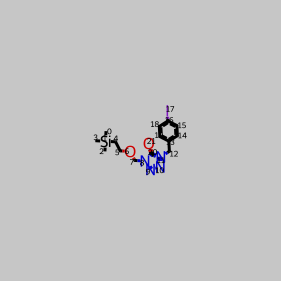 C[Si](C)(C)CCOCn1nnn(Cc2ccc(I)cc2)c1=O